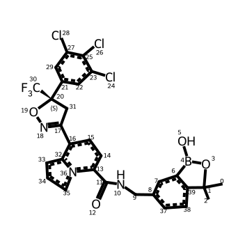 CC1(C)OB(O)c2cc(CNC(=O)c3ccc(C4=NO[C@@](c5cc(Cl)c(Cl)c(Cl)c5)(C(F)(F)F)C4)c4cccn34)ccc21